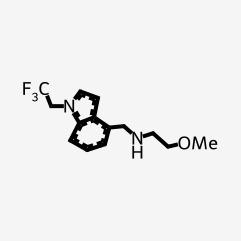 COCCNCc1cccc2c1ccn2CC(F)(F)F